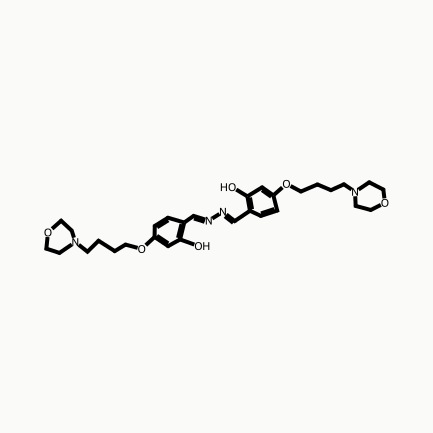 Oc1cc(OCCCCN2CCOCC2)ccc1/C=N/N=C/c1ccc(OCCCCN2CCOCC2)cc1O